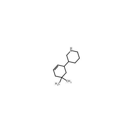 CC1(C)CC=CC(C2CCCNC2)C1